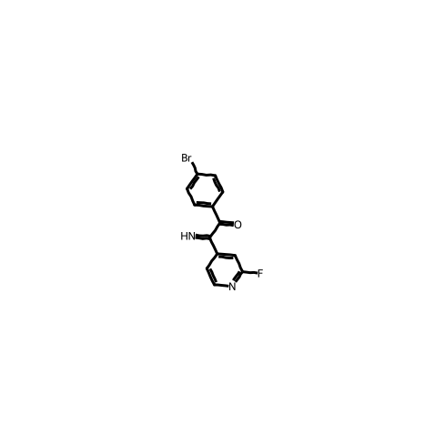 N=C(C(=O)c1ccc(Br)cc1)c1ccnc(F)c1